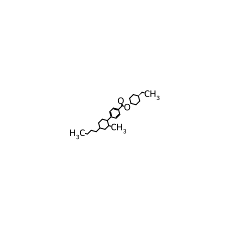 CCCCC1CCC(c2ccc(C(=O)O[C@H]3CC[C@H](CC)CC3)cc2)C(C)C1